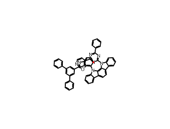 c1ccc(-c2cc(-c3ccccc3)cc(-c3nc4cccc(-n5c6ccccc6c6ccc7c8ccccc8n(-c8nc(-c9ccccc9)nc(-c9ccncc9)n8)c7c65)c4o3)c2)cc1